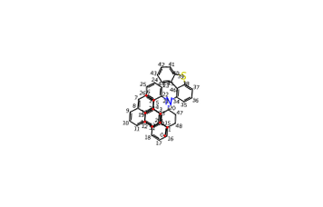 CC1C=C(c2cccc3cccc(-c4ccccc4)c23)C(N(c2ccccc2-c2ccccc2)c2cccc3sc4ccccc4c23)CC1